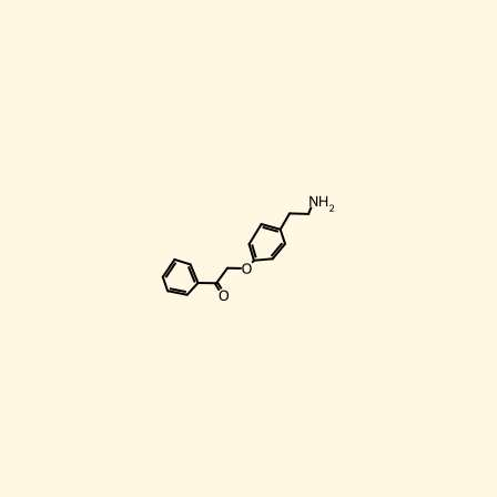 NCCc1ccc(OCC(=O)c2ccccc2)cc1